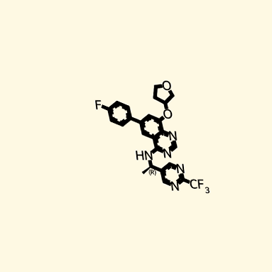 C[C@@H](Nc1ncnc2c(OC3CCOC3)cc(-c3ccc(F)cc3)cc12)c1cnc(C(F)(F)F)nc1